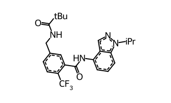 CC(C)n1ncc2c(NC(=O)c3cc(CNC(=O)C(C)(C)C)ccc3C(F)(F)F)cccc21